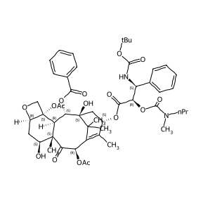 CCCN(C)C(=O)O[C@@H](C(=O)O[C@H]1C[C@@]2(O)[C@@H](OC(=O)c3ccccc3)[C@@H]3[C@]4(OC(C)=O)CO[C@@H]4C[C@H](O)[C@@]3(C)C(=O)[C@H](OC(C)=O)C(=C1C)C2(C)C)[C@@H](NC(=O)OC(C)(C)C)c1ccccc1